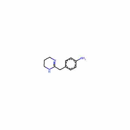 Nc1ccc(CC2=NCCCN2)cc1